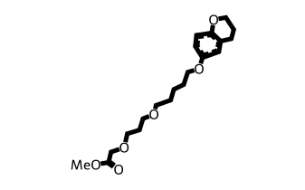 COC(=O)COCCCOCCCCCOc1ccc2c(c1)CCCO2